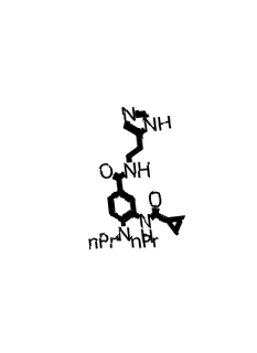 CCCN(CCC)c1ccc(C(=O)NCCc2cnc[nH]2)cc1NC(=O)C1CC1